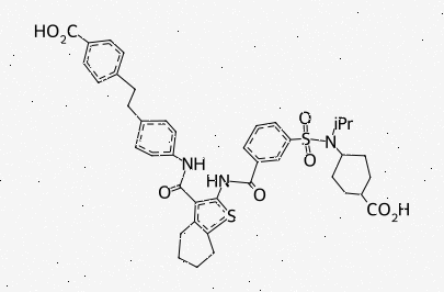 CC(C)N(C1CCC(C(=O)O)CC1)S(=O)(=O)c1cccc(C(=O)Nc2sc3c(c2C(=O)Nc2ccc(CCc4ccc(C(=O)O)cc4)cc2)CCCC3)c1